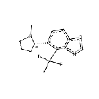 CN1CCC[C@H]1c1ccc2ocnc2c1C(F)(F)F